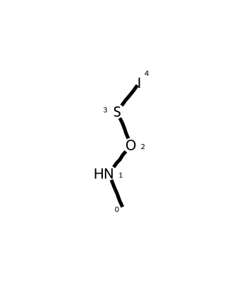 CNOSI